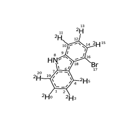 [2H]c1c([2H])c([2H])c2c([nH]c3c([2H])c([2H])c([2H])c(Br)c32)c1[2H]